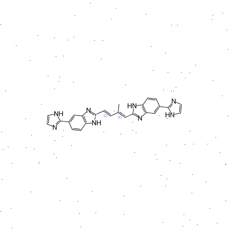 CC(/C=C/c1nc2cc(-c3ncc[nH]3)ccc2[nH]1)=C\c1nc2cc(-c3ncc[nH]3)ccc2[nH]1